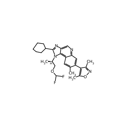 Cc1cc2c(cc1-c1c(C)noc1C)ncc1nc(C3CCCCC3)n([C@H](C)COC(F)F)c12